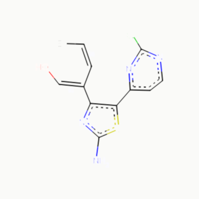 CC/C=C\C(=C/O)c1nc(N)sc1-c1ccnc(Cl)n1